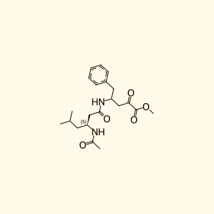 COC(=O)C(=O)CC(Cc1ccccc1)NC(=O)C[C@H](CC(C)C)NC(C)=O